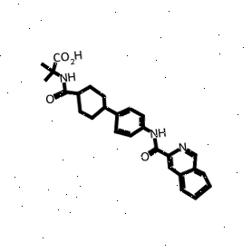 CC(C)(NC(=O)C1CCC(c2ccc(NC(=O)c3cc4ccccc4cn3)cc2)CC1)C(=O)O